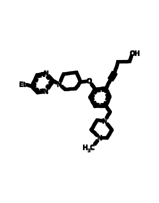 CCc1cnc(N2CCC(Oc3ccc(CN4CCN(C)CC4)cc3C#CCCO)CC2)nc1